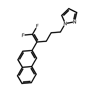 FC(F)=C(CCCn1cccn1)c1ccc2ccccc2c1